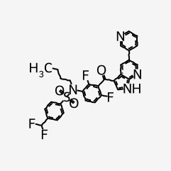 CCCCN(c1ccc(F)c(C(=O)c2c[nH]c3ncc(-c4cccnc4)cc23)c1F)S(=O)(=O)c1ccc(C(F)F)cc1